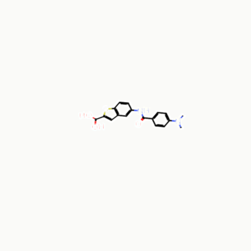 CN(C)c1ccc(C(=O)Nc2ccc3sc(C(O)O)cc3c2)cc1